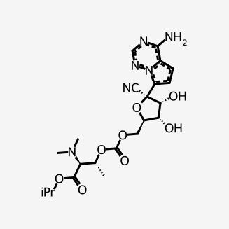 CC(C)OC(=O)[C@H]([C@@H](C)OC(=O)OC[C@H]1O[C@@](C#N)(c2ccc3c(N)ncnn23)[C@H](O)[C@@H]1O)N(C)C